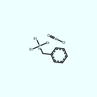 CC[PH](CC)(CC)Cc1ccccc1.[O]=[Al][Cl]